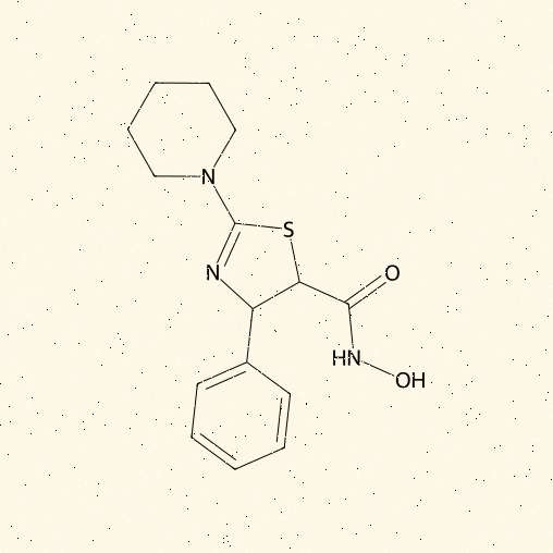 O=C(NO)C1SC(N2CCCCC2)=NC1c1ccccc1